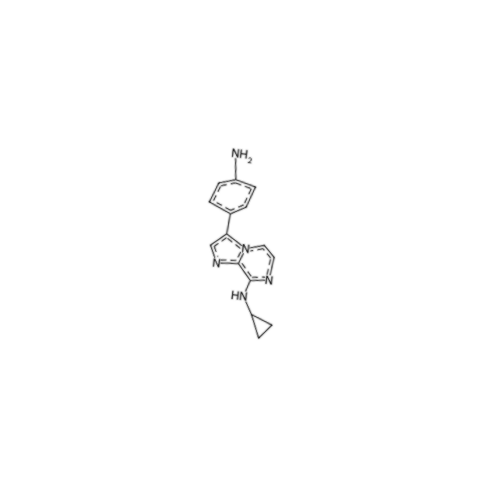 Nc1ccc(-c2cnc3c(NC4CC4)nccn23)cc1